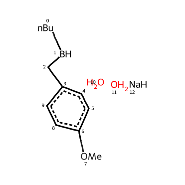 CCCCBCc1ccc(OC)cc1.O.O.[NaH]